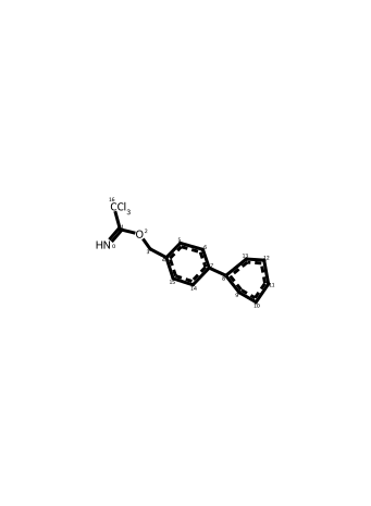 N=C(OCc1ccc(-c2ccccc2)cc1)C(Cl)(Cl)Cl